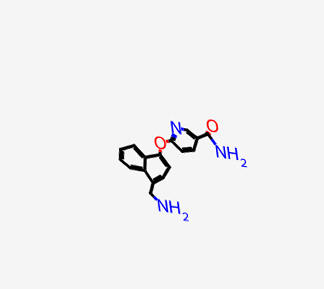 NCc1ccc(Oc2ccc(C(N)=O)cn2)c2ccccc12